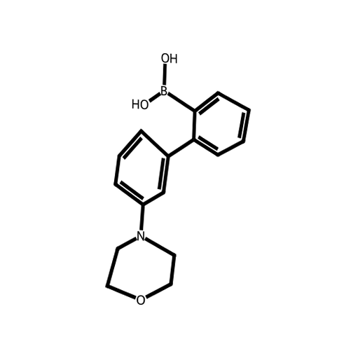 OB(O)c1ccccc1-c1cccc(N2CCOCC2)c1